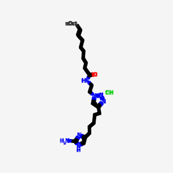 CCCCCCCC/C=C/CCCCCCC(=O)NCCn1cc(CCCCCc2c[nH]c(N)n2)nn1.Cl